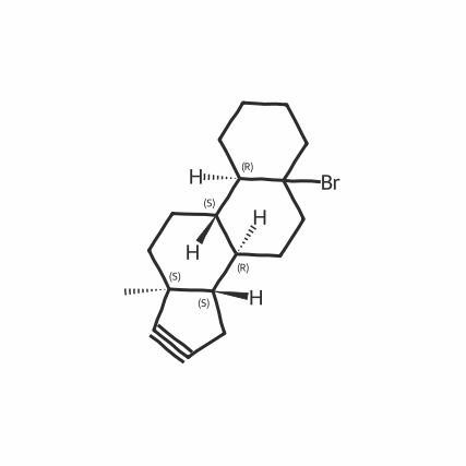 C[C@@]12C#CC[C@H]1[C@@H]1CCC3(Br)CCCC[C@@H]3[C@H]1CC2